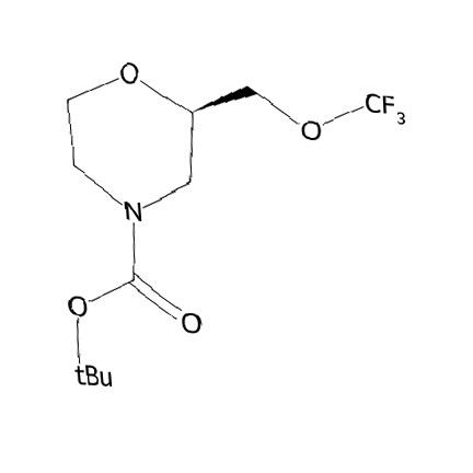 CC(C)(C)OC(=O)N1CCO[C@@H](COC(F)(F)F)C1